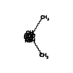 CCCCCCCCCCCCCCOS(=O)(=O)OCCCCCCCCCCCCCC.O=C(O)/C=C\C(=O)O.[NaH]